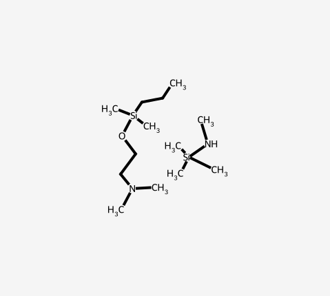 CCC[Si](C)(C)OCCN(C)C.CN[Si](C)(C)C